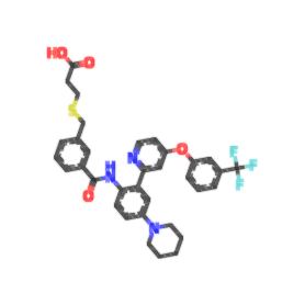 O=C(O)CCSCc1cccc(C(=O)Nc2ccc(N3CCCCC3)cc2-c2cc(Oc3cccc(C(F)(F)F)c3)ccn2)c1